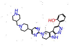 C[C@@H]1c2c([nH]c3nnc(-c4ccccc4O)cc23)CCN1c1ncc(C2CCN(CC3CCNCC3)CC2)cn1